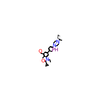 C=C=C(C)N1CCN(C2=CC=C(c3cc(C=O)c(C)c(N(CC)C(=O)C4CC4)c3)CP2)CC1